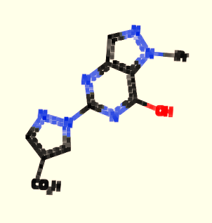 CC(C)n1ncc2nc(-n3cc(C(=O)O)cn3)nc(O)c21